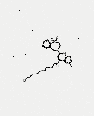 Cc1ccc2nc(N3CCS(=O)(=O)c4ccccc4C3)cc(NCCCCCCCCCO)c2c1